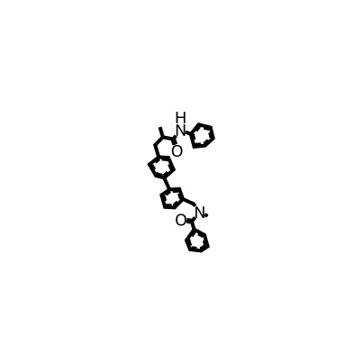 CC(Cc1ccc(-c2cccc(CN(C)C(=O)c3ccccc3)c2)cc1)C(=O)Nc1ccccc1